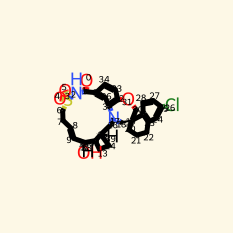 O=C1NS(=O)(=O)CC/C=C/[C@H](O)[C@@H]2CC[C@H]2CN2C[C@@]3(CCCc4cc(Cl)ccc43)COc3ccc1cc32